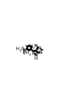 CN(C)c1cccc(-c2n[nH]c3ncnc(N)c23)c1